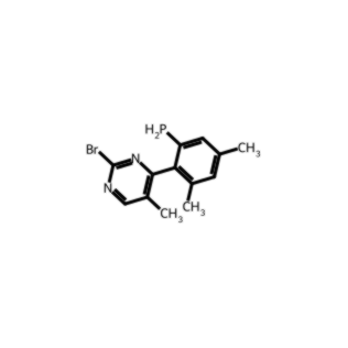 Cc1cc(C)c(-c2nc(Br)ncc2C)c(P)c1